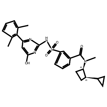 Cc1cccc(C)c1-c1cc(O)nc(NS(=O)(=O)c2cccc(C(=O)N(C)[C@@H]3CC[C@@H]3C3CC3)c2)n1